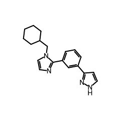 c1cc(-c2cc[nH]n2)cc(-c2nccn2CC2CCCCC2)c1